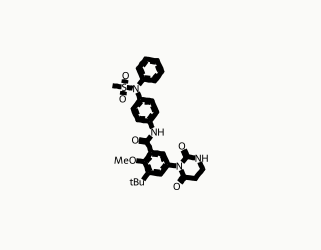 COc1c(C(=O)Nc2ccc(N(c3ccccc3)S(C)(=O)=O)cc2)cc(N2C(=O)CCNC2=O)cc1C(C)(C)C